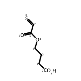 O=C(O)CCCOC(=O)C=S